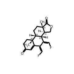 C[C@]12CCC(=O)C=C1C(=CF)C(=CF)[C@@H]1[C@H]2CC[C@]2(C)C(=O)OC[C@@H]12